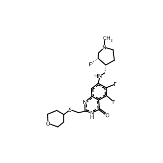 CN1CC[C@H](CNc2cc3nc(CSC4CCOCC4)[nH]c(=O)c3c(F)c2F)[C@H](F)C1